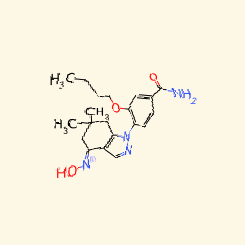 CCCCOc1cc(C(N)=O)ccc1-n1ncc2c1CC(C)(C)C/C2=N\O